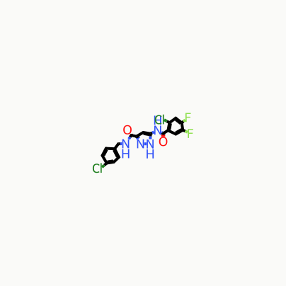 O=C(NCc1ccc(Cl)cc1)c1cc(NC(=O)c2cc(F)c(F)cc2Cl)[nH]n1